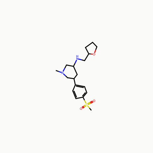 CN1CC(NCC2CCCO2)CC(c2ccc(S(C)(=O)=O)cc2)C1